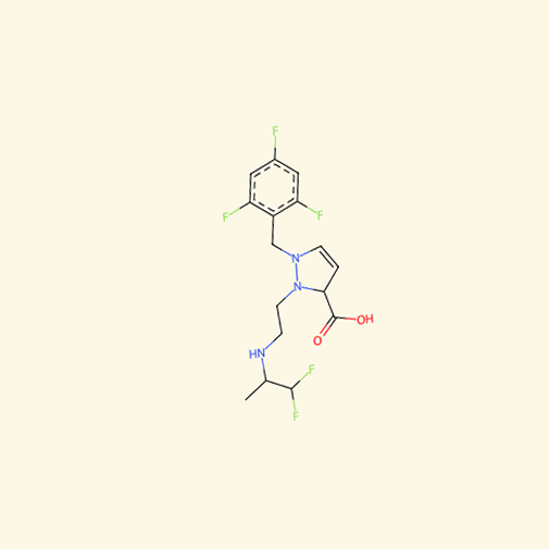 CC(NCCN1C(C(=O)O)C=CN1Cc1c(F)cc(F)cc1F)C(F)F